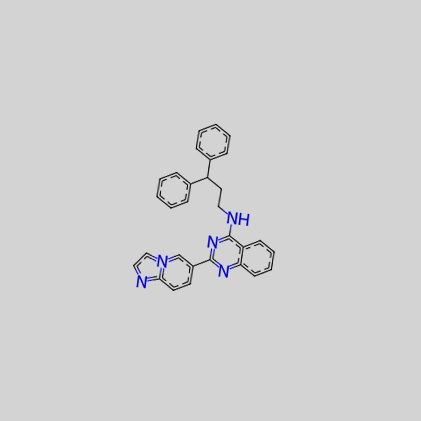 c1ccc(C(CCNc2nc(-c3ccc4nccn4c3)nc3ccccc23)c2ccccc2)cc1